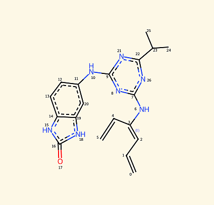 C=C/C=C(\C=C)Nc1nc(Nc2ccc3[nH]c(=O)[nH]c3c2)nc(C(C)C)n1